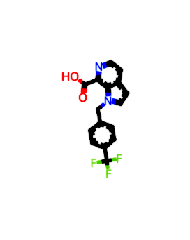 O=C(O)c1nccc2ccn(Cc3ccc(C(F)(F)F)cc3)c12